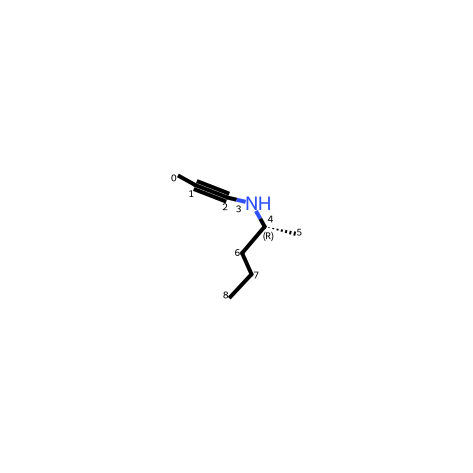 CC#CN[C@H](C)CCC